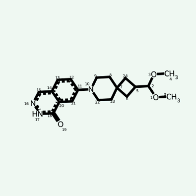 COC(OC)C1CC2(CCN(c3ccc4cn[nH]c(=O)c4c3)CC2)C1